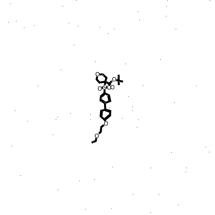 CCOCCOc1ccc(-c2ccc(S(=O)(=O)C3(C(=O)OC(C)(C)C)CCOCC3)cc2)cc1